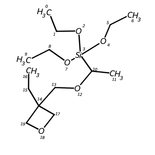 CCO[Si](OCC)(OCC)C(C)OCC1(CC)COC1